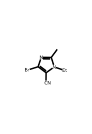 CCn1c(C)nc(Br)c1C#N